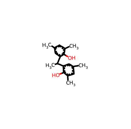 Cc1cc(C)c(O)c(C(C)c2cc(C)cc(C)c2O)c1